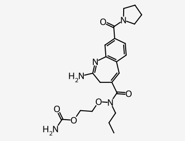 CCCN(OCCOC(N)=O)C(=O)C1=Cc2ccc(C(=O)N3CCCC3)cc2N=C(N)C1